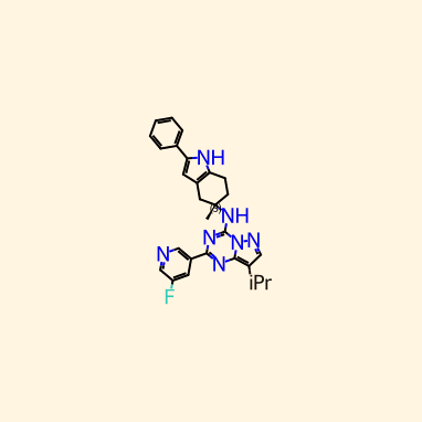 CC(C)c1cnn2c(N[C@@]3(C)CCc4[nH]c(-c5ccccc5)cc4C3)nc(-c3cncc(F)c3)nc12